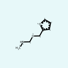 CNCOCc1ccco1